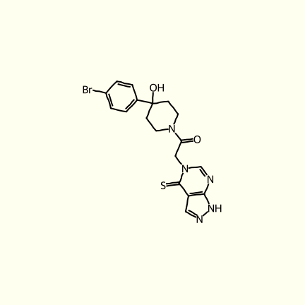 O=C(Cn1cnc2[nH]ncc2c1=S)N1CCC(O)(c2ccc(Br)cc2)CC1